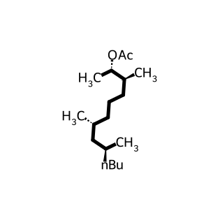 CCCC[C@H](C)C[C@H](C)CCC[C@H](C)[C@H](C)OC(C)=O